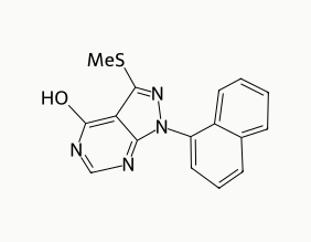 CSc1nn(-c2cccc3ccccc23)c2ncnc(O)c12